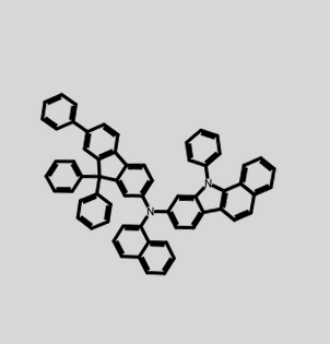 c1ccc(-c2ccc3c(c2)C(c2ccccc2)(c2ccccc2)c2cc(N(c4ccc5c6ccc7ccccc7c6n(-c6ccccc6)c5c4)c4cccc5ccccc45)ccc2-3)cc1